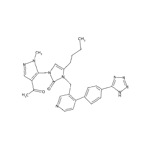 CCCCc1cn(-c2c(C(C)=O)cnn2C)c(=O)n1Cc1cnccc1-c1ccc(-c2nnn[nH]2)cc1